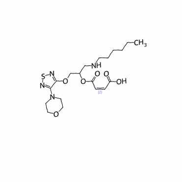 CCCCCCNCC(COc1nsnc1N1CCOCC1)OC(=O)/C=C\C(=O)O